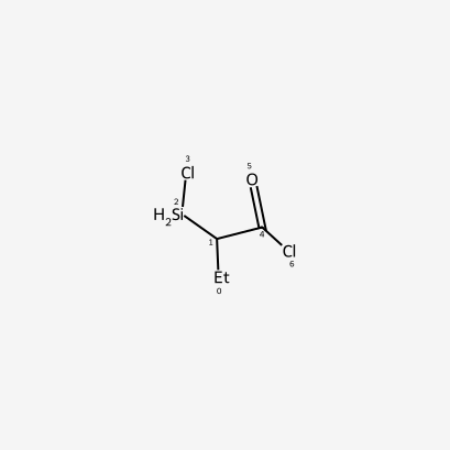 CCC([SiH2]Cl)C(=O)Cl